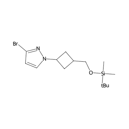 CC(C)(C)[Si](C)(C)OCC1CC(n2ccc(Br)n2)C1